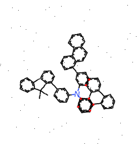 CC1(C)c2ccccc2-c2cccc(-c3cccc(N(c4cccc(-c5cccc6c5ccc5ccccc56)c4)c4ccccc4-c4ccccc4-c4ccccc4-c4ccccc4)c3)c21